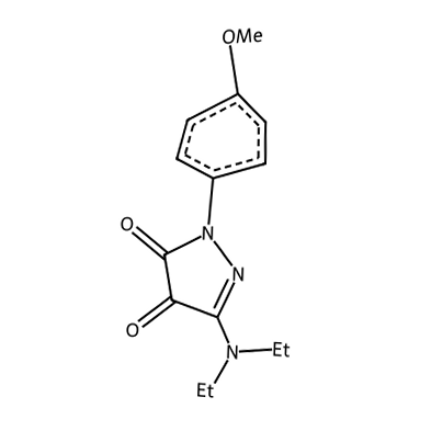 CCN(CC)C1=NN(c2ccc(OC)cc2)C(=O)C1=O